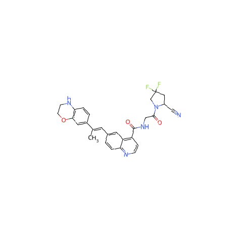 C/C(=C\c1ccc2nccc(C(=O)NCC(=O)N3CC(F)(F)CC3C#N)c2c1)c1ccc2c(c1)OCCN2